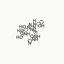 O=C(CO)N[C@H]1C[C@@H](n2cnc3c(N[C@H](CO)Cc4ccccc4)nc(N4CCC(NC(=O)Nc5cccnc5)C4)nc32)[C@H](O)[C@@H]1O